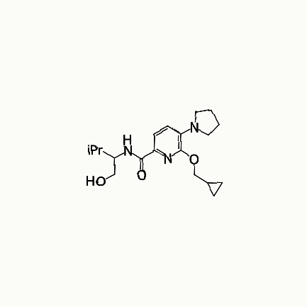 CC(C)C(CO)NC(=O)c1ccc(N2CCCC2)c(OCC2CC2)n1